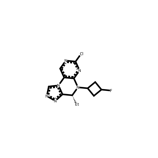 CC[C@@H]1c2nncn2-c2cnc(Cl)nc2N1C1CC(F)C1